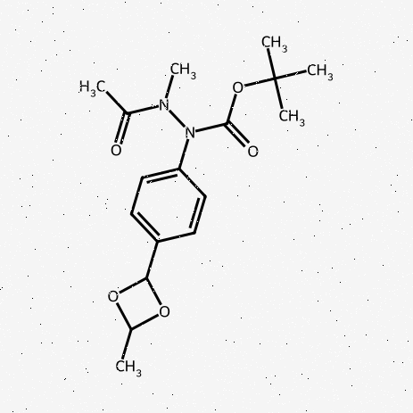 CC(=O)N(C)N(C(=O)OC(C)(C)C)c1ccc(C2OC(C)O2)cc1